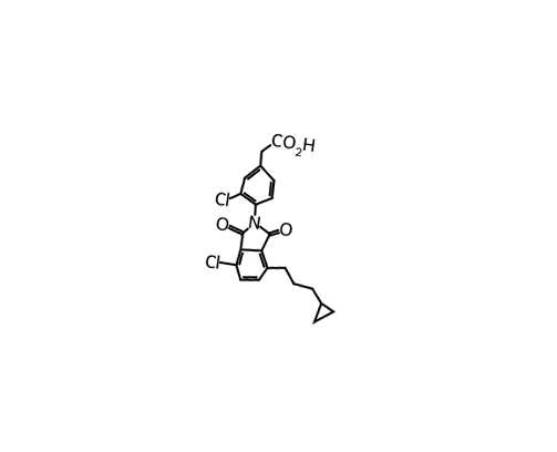 O=C(O)Cc1ccc(N2C(=O)c3c(Cl)ccc(CCCC4CC4)c3C2=O)c(Cl)c1